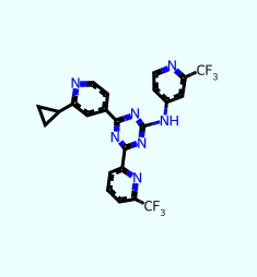 FC(F)(F)c1cc(Nc2nc(-c3ccnc(C4CC4)c3)nc(-c3cccc(C(F)(F)F)n3)n2)ccn1